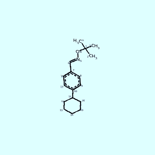 CC(C)(C)O/N=[C]/c1ccc(C2CCCCC2)cc1